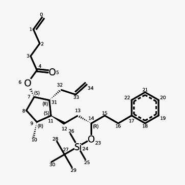 C=CCCC(=O)O[C@H]1C[C@@H](C)[C@H](CC[C@H](CCc2ccccc2)O[Si](C)(C)C(C)(C)C)[C@H]1CC=C